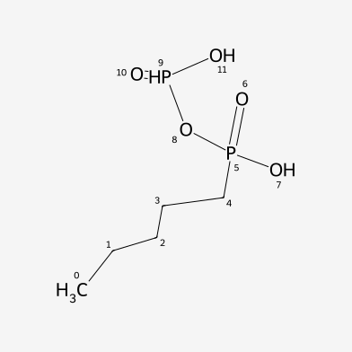 CCCCCP(=O)(O)O[PH](=O)O